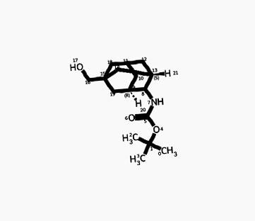 CC(C)(C)OC(=O)NC1[C@@H]2CC3C[C@H]1CC(CO)(C3)C2